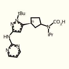 CC(C)N(C(=O)O)C1CC[C@H](c2cc(Nc3ncccn3)nn2C(C)(C)C)C1